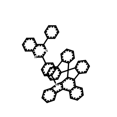 c1ccc(-c2nc(-c3ccc(-n4c5ccccc5c5c6ccccc6c6c(c54)C4(c5ccccc5-c5ccccc54)c4ccccc4-6)cc3)nc3ccccc23)cc1